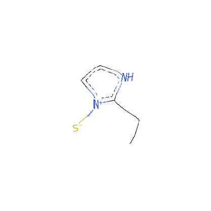 CCc1[nH]cc[n+]1[S-]